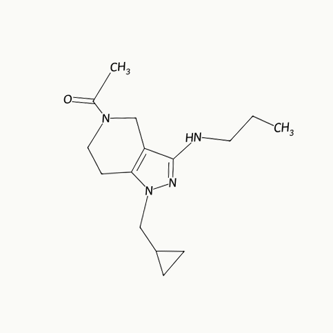 CCCNc1nn(CC2CC2)c2c1CN(C(C)=O)CC2